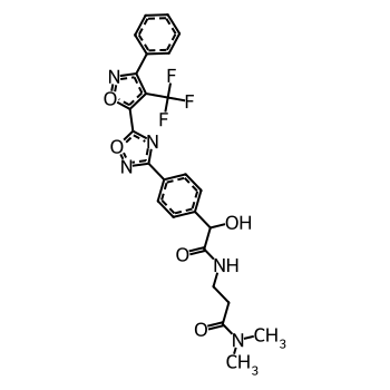 CN(C)C(=O)CCNC(=O)C(O)c1ccc(-c2noc(-c3onc(-c4ccccc4)c3C(F)(F)F)n2)cc1